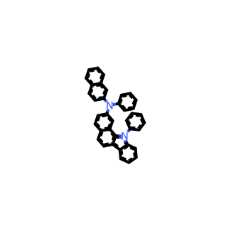 c1ccc(N(c2ccc3ccccc3c2)c2ccc3ccc4c5ccccc5n(-c5ccccc5)c4c3c2)cc1